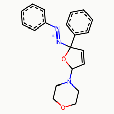 C1=CC(/N=N/c2ccccc2)(c2ccccc2)OC1N1CCOCC1